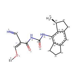 CCO/C=C(/C=N)C(=O)NC(=O)Nc1c2c(cc3c1[C@@H](C)CC3)CCC2